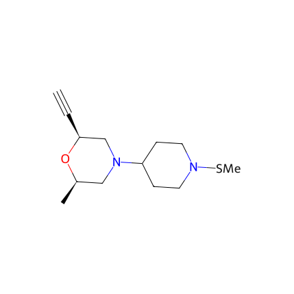 C#C[C@H]1CN(C2CCN(SC)CC2)C[C@@H](C)O1